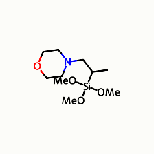 CO[Si](OC)(OC)C(C)CN1CCOCC1